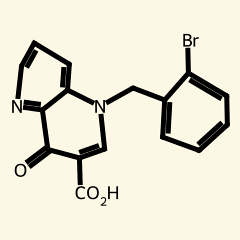 O=C(O)c1cn(Cc2ccccc2Br)c2cccnc2c1=O